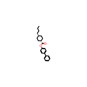 CCCC[C@H]1CC[C@H](C(=O)Oc2ccc(-c3ccccc3)cc2)CC1